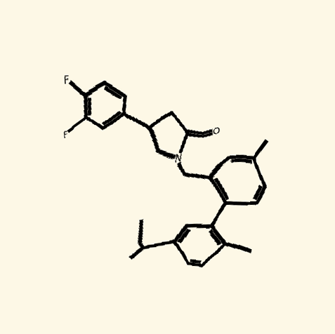 Cc1ccc(-c2cc(C(C)C)ccc2C)c(CN2CC(c3ccc(F)c(F)c3)CC2=O)c1